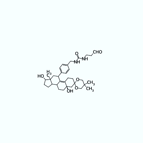 CC1(C)COC2(CCC3=C4C(c5ccc(CNC(=O)NCCC=O)cc5)CC5(C)C(O)CCC5C4CC[C@@]3(O)C2)OC1